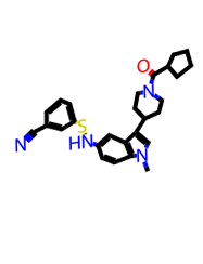 Cn1cc(C2CCN(C(=O)C3CCCC3)CC2)c2cc(NSc3cccc(C#N)c3)ccc21